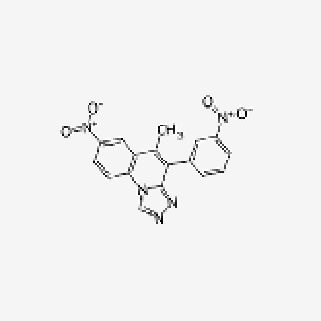 Cc1c(-c2cccc([N+](=O)[O-])c2)c2nncn2c2ccc([N+](=O)[O-])cc12